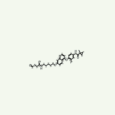 CC1(C(=O)Nc2ccc(Oc3ccnc4cc(OCCCCCNC(=O)CSC=O)ccc34)c(F)c2)CC1